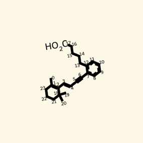 CC1=C(C=CC#Cc2ccccc2CCCCC(=O)O)C(C)(C)CCC1